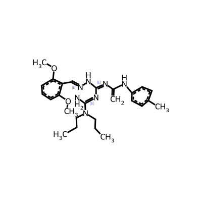 C=C(/N=C(\N=C(/N)N(CCC)CCC)N/N=C/c1c(OC)cccc1OC)Nc1ccc(C)cc1